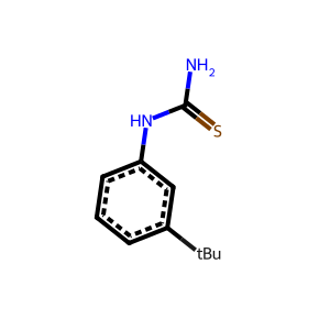 CC(C)(C)c1cccc(NC(N)=S)c1